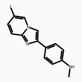 CNc1ccc(-c2cn3cc(I)ccc3n2)cc1